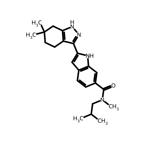 CC(C)CN(C)C(=O)c1ccc2cc(-c3n[nH]c4c3CCC(C)(C)C4)[nH]c2c1